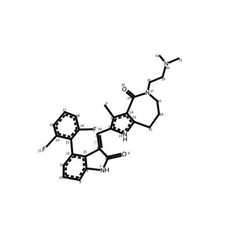 Cc1c(/C=C2\C(=O)Nc3cccc(-c4c(F)cccc4F)c32)[nH]c2c1C(=O)N(CCN(C)C)CCC2